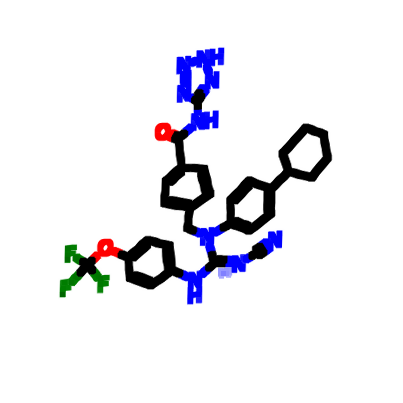 N#C/N=C(/Nc1ccc(OC(F)(F)F)cc1)N(Cc1ccc(C(=O)Nc2nn[nH]n2)cc1)c1ccc(C2CCCCC2)cc1